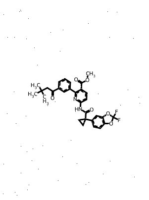 COC(=O)c1ccc(NC(=O)C2(c3ccc4c(c3)OC(F)(F)O4)CC2)nc1-c1cccc(C(=O)CC(C)(C)C)c1